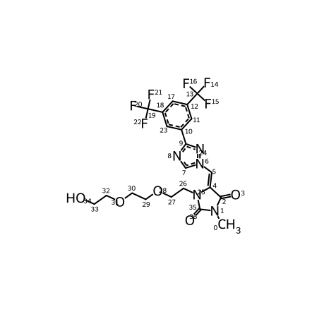 CN1C(=O)/C(=C/n2cnc(-c3cc(C(F)(F)F)cc(C(F)(F)F)c3)n2)N(CCOCCOCCO)C1=O